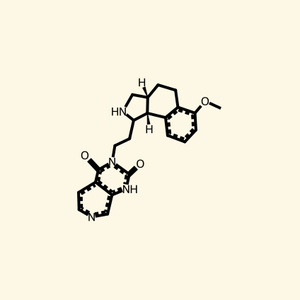 COc1cccc2c1CC[C@H]1CNC(CCn3c(=O)[nH]c4cnccc4c3=O)[C@@H]21